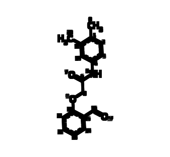 Cc1ccc(NC(=O)COc2ccccc2C=O)cc1C